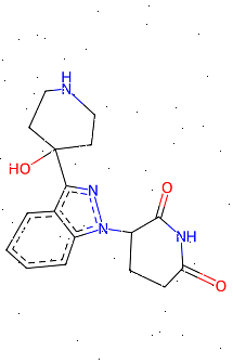 O=C1CCC(n2nc(C3(O)CCNCC3)c3ccccc32)C(=O)N1